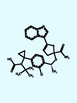 C[C@@H](OC1(C(N)=O)CC=C(c2cnc3ccccn23)S1)c1ccc(C2(N(C(=O)O)C(C)(C)C)CC2)cc1Cl